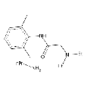 CCCN.CCN(CC)CC(=O)Nc1c(C)cccc1C